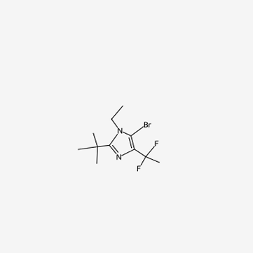 CCn1c(C(C)(C)C)nc(C(C)(F)F)c1Br